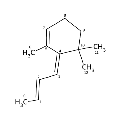 CC=CC=C1C(C)=CCCC1(C)C